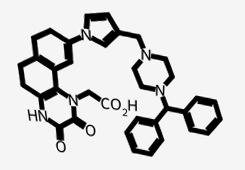 O=C(O)Cn1c2c([nH]c(=O)c1=O)CCC1=C2C=C(n2ccc(CN3CCN(C(c4ccccc4)c4ccccc4)CC3)c2)CC1